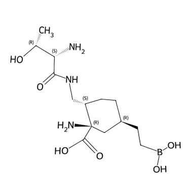 C[C@@H](O)[C@H](N)C(=O)NC[C@@H]1CC[C@@H](CCB(O)O)C[C@]1(N)C(=O)O